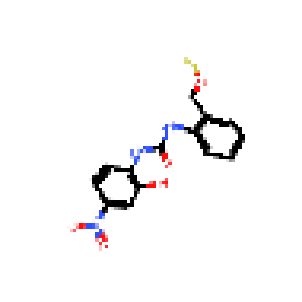 O=C(Nc1ccc([N+](=O)[O-])cc1O)Nc1ccccc1COS